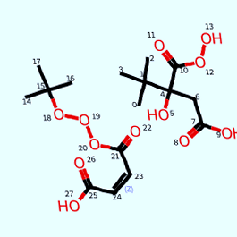 CC(C)(C)C(O)(CC(=O)O)C(=O)OO.CC(C)(C)OOOC(=O)/C=C\C(=O)O